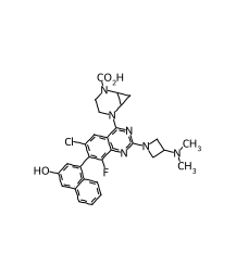 CN(C)C1CN(c2nc(N3CCN(C(=O)O)C4CC43)c3cc(Cl)c(-c4cc(O)cc5ccccc45)c(F)c3n2)C1